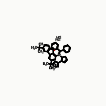 CC(C)(C)c1ccc2c(c1)-c1cc(C(C)(C)C)c[c]([Zr]([C]3=C(c4ccoc4)C=CC3)=[C](c3ccccc3)c3ccccc3)c1C2.Cl.Cl